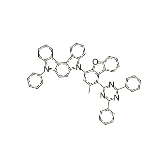 Cc1cc(-n2c3ccccc3c3c4c5ccccc5n(-c5ccccc5)c4ccc32)c2oc3ccccc3c2c1-c1nc(-c2ccccc2)nc(-c2ccccc2)n1